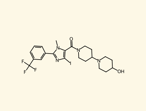 Cn1c(-c2cccc(C(F)(F)F)c2)nc(I)c1C(=O)N1CCC(N2CCC(O)CC2)CC1